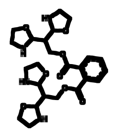 O=C(OCC(C1NCCO1)C1NCCO1)c1ccccc1C(=O)OCC(C1NCCO1)C1NCCO1